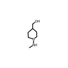 CNN1CCC(CO)CC1